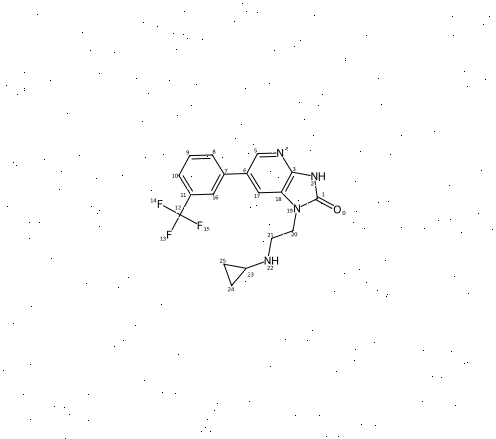 O=c1[nH]c2ncc(-c3cccc(C(F)(F)F)c3)cc2n1CCNC1CC1